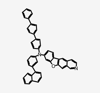 c1ccc(-c2ccc(-c3ccc(N(c4cccc(-c5cccc6ccccc56)c4)c4ccc5c(c4)oc4cc6cnccc6cc45)cc3)cc2)cc1